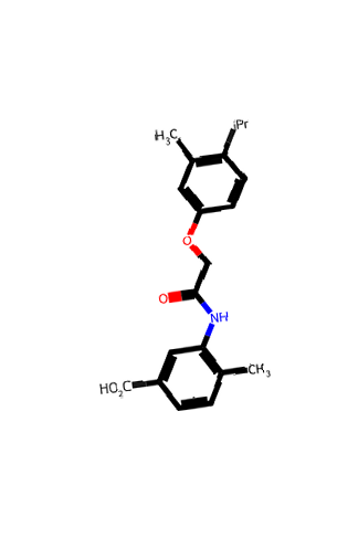 Cc1ccc(C(=O)O)cc1NC(=O)COc1ccc(C(C)C)c(C)c1